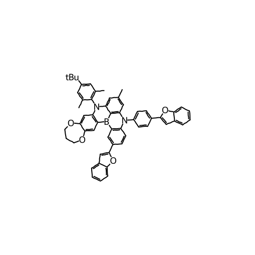 Cc1cc2c3c(c1)N(c1c(C)cc(C(C)(C)C)cc1C)c1cc4c(cc1B3c1cc(-c3cc5ccccc5o3)ccc1N2c1ccc(-c2cc3ccccc3o2)cc1)OCCCO4